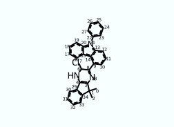 CC1(C)C2=C(NC(Cl)C(c3cccc4c3c3ccccc3n4-c3ccccc3)=N2)c2ccccc21